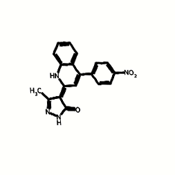 CC1=NNC(=O)C1=C1C=C(c2ccc([N+](=O)[O-])cc2)c2ccccc2N1